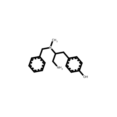 CN(Cc1ccccc1)C(CN)Cc1ccc(O)cc1